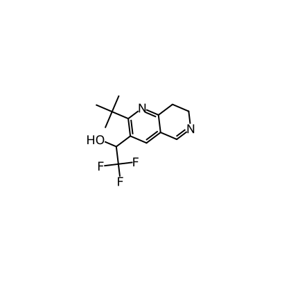 CC(C)(C)c1nc2c(cc1C(O)C(F)(F)F)C=NCC2